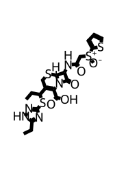 CCc1nc(SC(CC)C2=C(C(=O)O)N3C(=O)C(NC(=O)C[S+]([O-])c4cccs4)[C@@H]3SC2)n[nH]1